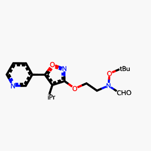 CC(C)c1c(OCCN(C=O)OC(C)(C)C)noc1-c1cccnc1